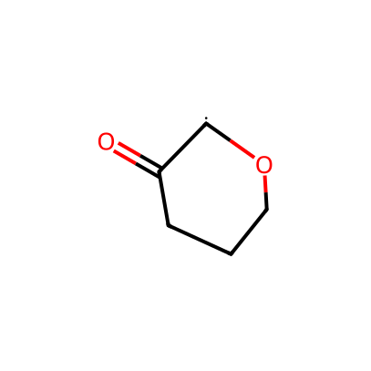 O=C1[CH]OCCC1